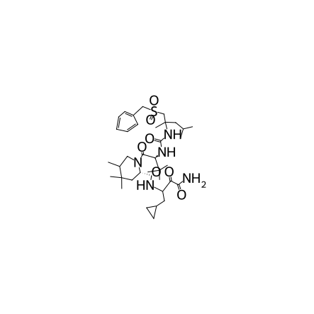 CC(C)CC(C)(CS(=O)(=O)Cc1ccccc1)NC(=O)N[C@H](C(=O)N1CC(C)C(C)(C)C[C@H]1C(=O)NC(CC1CC1)C(=O)C(N)=O)C(C)(C)C